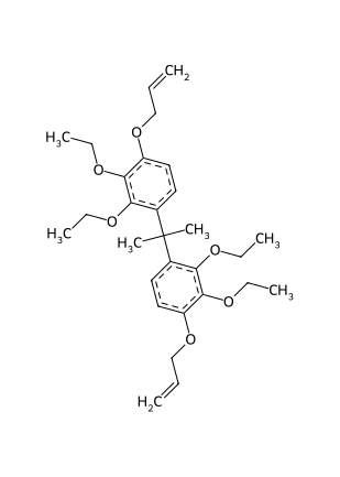 C=CCOc1ccc(C(C)(C)c2ccc(OCC=C)c(OCC)c2OCC)c(OCC)c1OCC